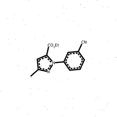 CCOC(=O)c1cc(C)nn1-c1cccc(C#N)c1